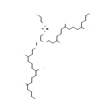 CC(C)CCCC(C)CCCC(C)CCCC(C)CCOC[C@@H](COP(=O)(O)OCCN)OCCC(C)CCCC(C)CCCC(C)CCCC(C)C